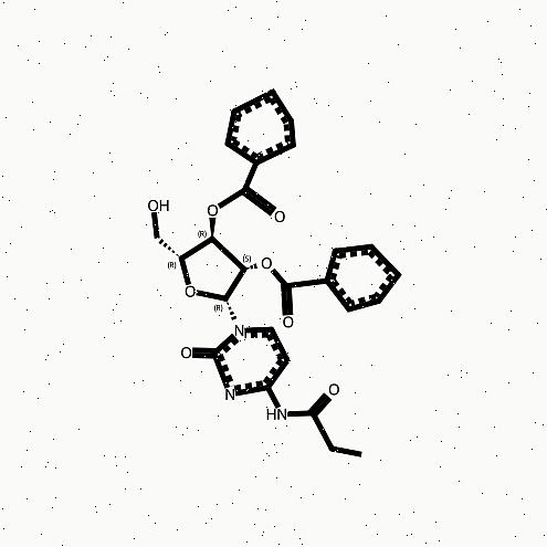 CCC(=O)Nc1ccn([C@@H]2O[C@H](CO)[C@@H](OC(=O)c3ccccc3)[C@@H]2OC(=O)c2ccccc2)c(=O)n1